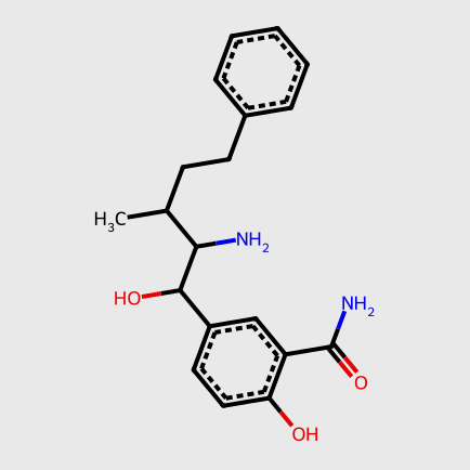 CC(CCc1ccccc1)C(N)C(O)c1ccc(O)c(C(N)=O)c1